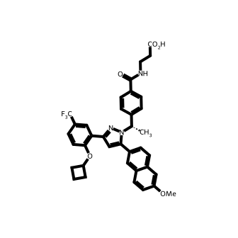 COc1ccc2cc(-c3cc(-c4cc(C(F)(F)F)ccc4OC4CCC4)nn3[C@@H](C)c3ccc(C(=O)NCCC(=O)O)cc3)ccc2c1